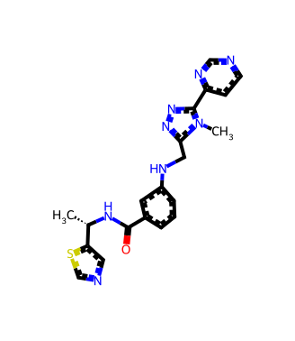 C[C@H](NC(=O)c1cccc(NCc2nnc(-c3ccncn3)n2C)c1)c1cncs1